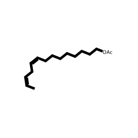 C/C=C\C/C=C\CCCCCCCCOC(C)=O